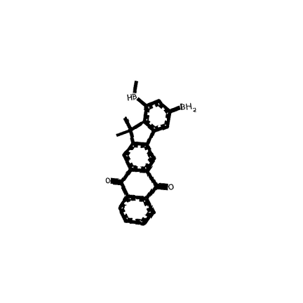 Bc1cc(BC)c2c(c1)-c1cc3c(cc1C2(C)C)C(=O)c1ccccc1C3=O